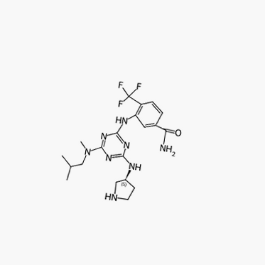 CC(C)CN(C)c1nc(Nc2cc(C(N)=O)ccc2C(F)(F)F)nc(N[C@H]2CCNC2)n1